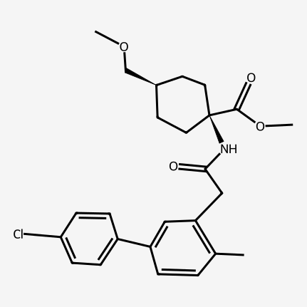 COC[C@H]1CC[C@](NC(=O)Cc2cc(-c3ccc(Cl)cc3)ccc2C)(C(=O)OC)CC1